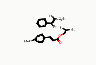 CCCCC(CC)COC(=O)C=Cc1ccc(OC)cc1.CCOC(=O)C(=C(c1ccccc1)C(C)C)C(C)C